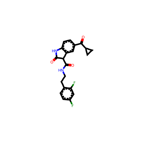 O=C(c1ccc2c(c1)C(C(=O)NCCc1ccc(F)cc1F)C(=O)N2)C1CC1